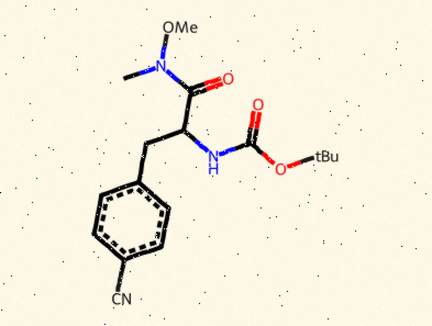 CON(C)C(=O)C(Cc1ccc(C#N)cc1)NC(=O)OC(C)(C)C